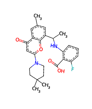 Cc1cc(C(C)Nc2cccc(F)c2C(=O)O)c2oc(N3CCC(C)(C)CC3)cc(=O)c2c1